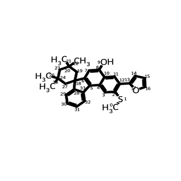 CSc1cc2c3c(cc(O)c2cc1-c1ccco1)C1(CC(C)(C)CC(C)(C)C1)c1ccccc1-3